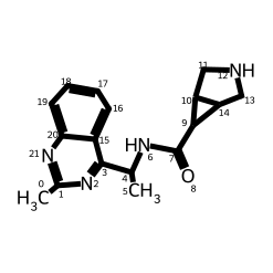 Cc1nc(C(C)NC(=O)C2C3CNCC32)c2ccccc2n1